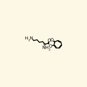 NCCCC[C@H](N)C(=O)Oc1cccccc1=O